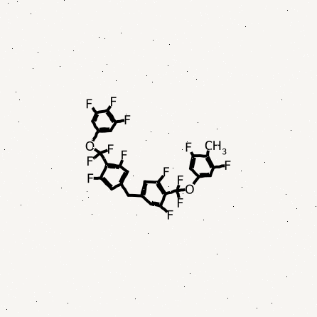 Cc1c(F)cc(OC(F)(F)c2c(F)cc(Cc3cc(F)c(C(F)(F)Oc4cc(F)c(F)c(F)c4)c(F)c3)cc2F)cc1F